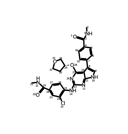 CNC(=O)c1ccc(-c2c[nH]c3nc(Nc4ccc(C(=O)NC)cc4Cl)nc(O[C@@H]4CCOC4)c23)cc1